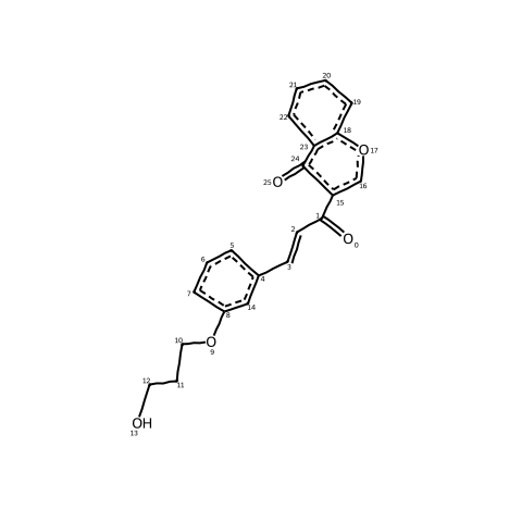 O=C(C=Cc1cccc(OCCCO)c1)c1coc2ccccc2c1=O